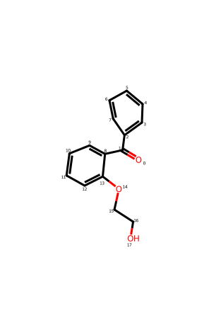 O=C(c1ccccc1)c1ccccc1OCCO